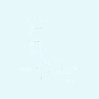 CCOC(=O)C1C(Cl)c2cc(B(O)O)ccc2N1c1ccc(OC2CCCC2)cc1